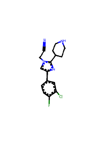 N#CCn1cc(-c2ccc(F)c(Cl)c2)nc1C1CCNCC1